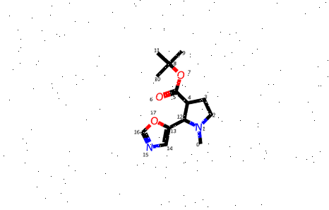 CN1CCC(C(=O)OC(C)(C)C)C1c1cnco1